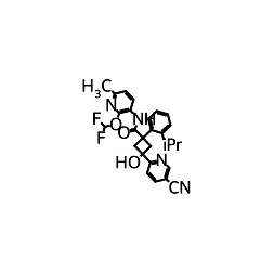 Cc1ccc(NC(=O)C2(c3ccccc3C(C)C)CC(O)(c3ccc(C#N)cn3)C2)c(OC(F)F)n1